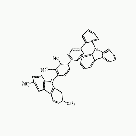 CC1C=Cc2c(n(-c3ccc(-c4ccc(-c5ccccc5-n5c6ccccc6c6ccccc65)cc4)c(C#N)c3C#N)c3ccc(C#N)cc23)C1